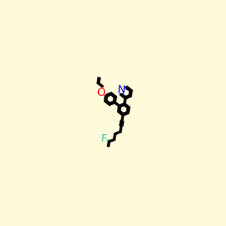 C=CCOc1ccc(-c2cc(C#CCCCC(C)F)ccc2-c2cccnc2)cc1